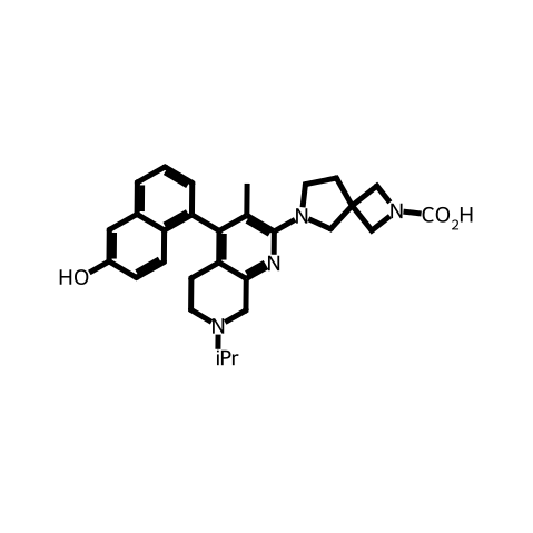 Cc1c(N2CCC3(CN(C(=O)O)C3)C2)nc2c(c1-c1cccc3cc(O)ccc13)CCN(C(C)C)C2